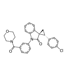 O=C(c1cccc(N2C(=O)[C@]3(C[C@@H]3c3ccc(Cl)cc3)c3ccccc32)c1)N1CCOCC1